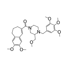 COCC1CN(C(=O)C2=Cc3cc(OC)c(OC)cc3CCC2)CCN1Cc1cc(OC)c(OC)c(OC)c1